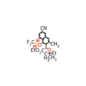 CCOC(=O)[C@@H](OC(C)(C)CC)c1c(C)cc2cc(C#N)ccc2c1OS(=O)(=O)C(F)(F)F